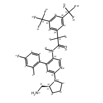 Cc1cc(F)ccc1-c1cc(N2CCC[C@H]2CN)ncc1N(C)C(=O)C(C)(C)c1cc(C(F)(F)F)cc(C(F)(F)F)c1